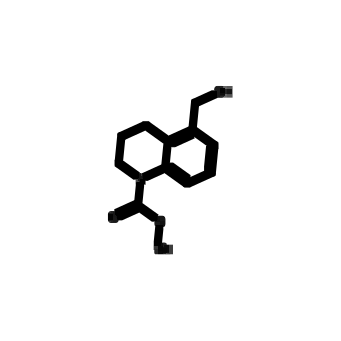 CC(C)(C)OC(=O)N1CCCc2c(CO)cccc21